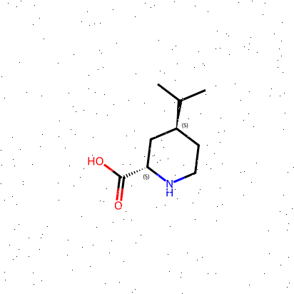 CC(C)[C@H]1CCN[C@H](C(=O)O)C1